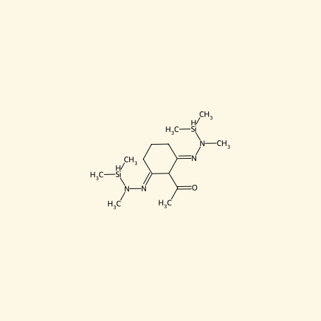 CC(=O)C1C(=NN(C)[SiH](C)C)CCCC1=NN(C)[SiH](C)C